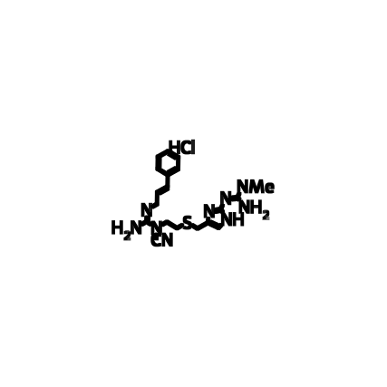 CNC(N)=Nc1nc(CSCCN(C#N)C(N)=NCC=Cc2ccccc2)c[nH]1.Cl